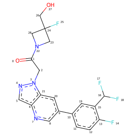 O=C(Cn1ncc2ncc(-c3ccc(F)c(C(F)F)c3)cc21)N1CC(F)(CO)C1